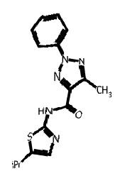 Cc1nn(-c2ccccc2)nc1C(=O)Nc1ncc(C(C)C)s1